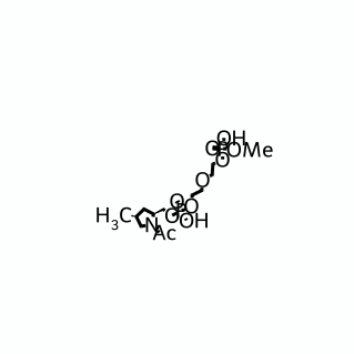 COP(=O)(O)OCCOCCOP(=O)(O)OC[C@@H]1C[C@@H](C)CN1C(C)=O